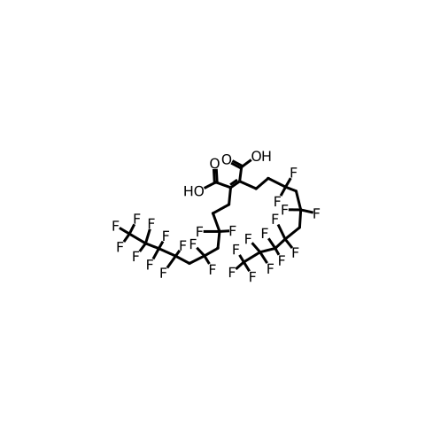 O=C(O)/C(CCC(F)(F)CC(F)(F)CC(F)(F)C(F)(F)C(F)(F)C(F)(F)F)=C(/CCC(F)(F)CC(F)(F)CC(F)(F)C(F)(F)C(F)(F)C(F)(F)F)C(=O)O